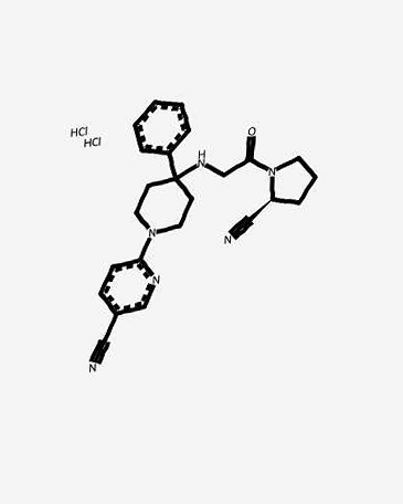 Cl.Cl.N#Cc1ccc(N2CCC(NCC(=O)N3CCC[C@H]3C#N)(c3ccccc3)CC2)nc1